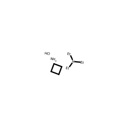 C1CCC1.CCN(CC)CC.Cl.N